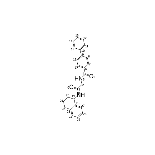 O=C(CNC(=O)c1ccc(-c2ccccc2)cc1)NC1CCCc2ccccc21